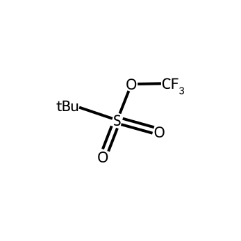 CC(C)(C)S(=O)(=O)OC(F)(F)F